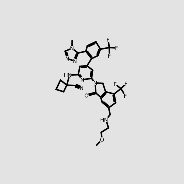 COCCNCc1cc2c(c(C(F)(F)F)c1)CN(c1cc(-c3cc(C(F)(F)F)ccc3-c3nncn3C)cc(NC3(C#N)CCC3)n1)C2=O